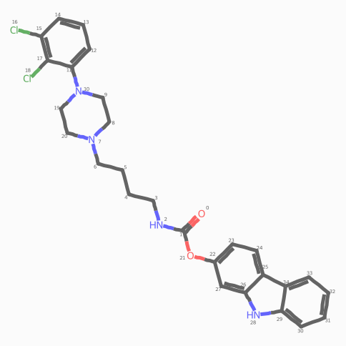 O=C(NCCCCN1CCN(c2cccc(Cl)c2Cl)CC1)Oc1ccc2c(c1)[nH]c1ccccc12